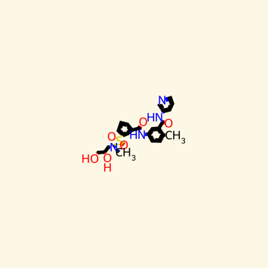 Cc1ccc(NC(=O)c2cccc(S(=O)(=O)N(C)CC(O)CO)c2)cc1C(=O)Nc1cccnc1